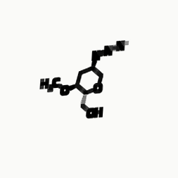 CO[C@H]1C[C@@H](N=[N+]=[N-])CO[C@@H]1CO